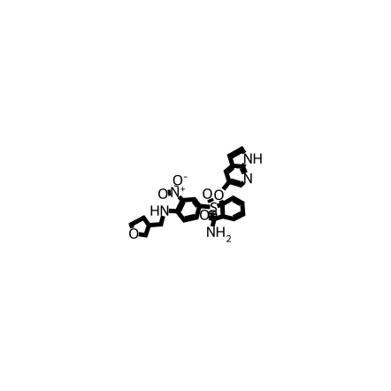 NC(=O)C1C=CC=CC1(Oc1cnc2[nH]ccc2c1)S(=O)(=O)c1ccc(NCC2CCOC2)c([N+](=O)[O-])c1